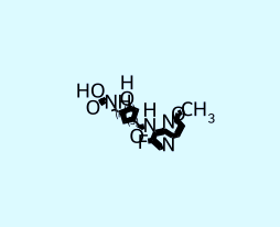 COc1ccc2ncc(F)c(NC(=O)[C@H]3C[C@H](CNC(=O)O)[C@H](O)C3)c2n1